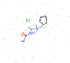 C=CC(=O)NC(C)[N+](C)(C)Cc1ccccc1.[Cl-]